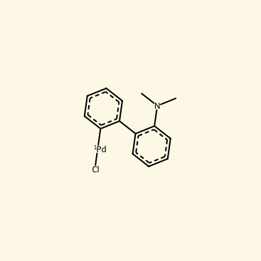 CN(C)c1ccccc1-c1cccc[c]1[1Pd][Cl]